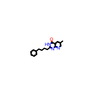 Cc1cnc2nc(CCCCc3ccccc3)[nH]c(=O)c2c1